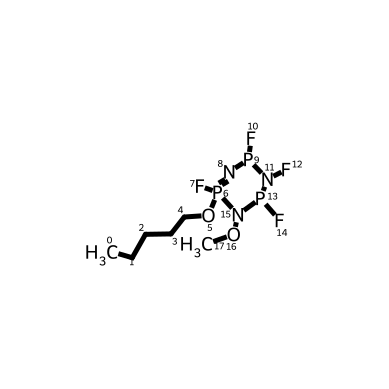 CCCCCOP1(F)=NP(F)N(F)P(F)N1OC